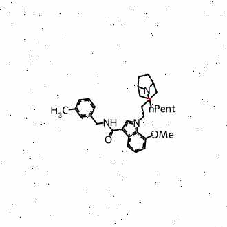 CCCCCC1CC2CCC(C1)N2CCCn1cc(C(=O)NCc2cccc(C)c2)c2cccc(OC)c21